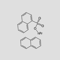 CCCOS(=O)(=O)c1cccc2ccccc12.c1ccc2ccccc2c1